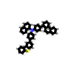 c1ccc2c(N(c3ccc(-c4ccc5sc6ccccc6c5c4)cc3)c3ccc(-c4cccc5c4ccc4ccccc45)cc3)cccc2c1